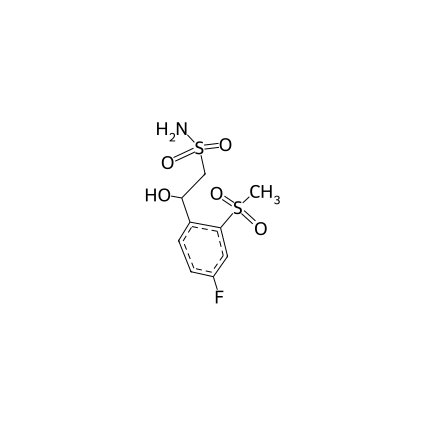 CS(=O)(=O)c1cc(F)ccc1C(O)CS(N)(=O)=O